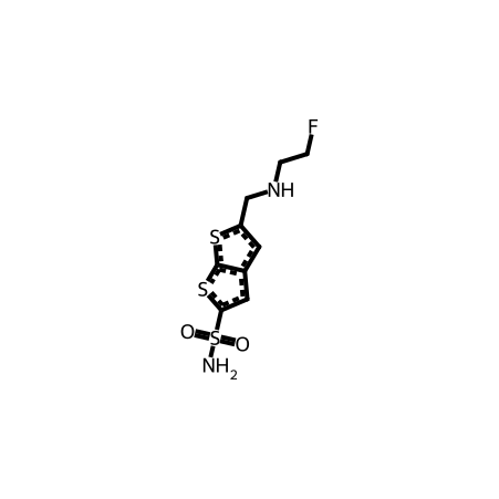 NS(=O)(=O)c1cc2cc(CNCCF)sc2s1